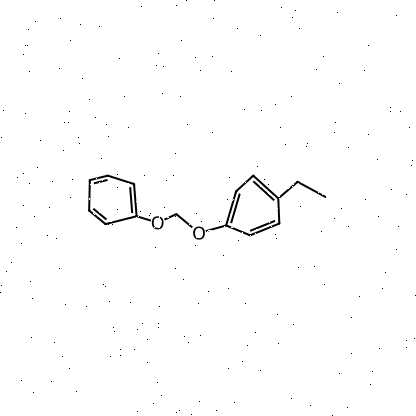 CCc1ccc(OCOc2ccccc2)cc1